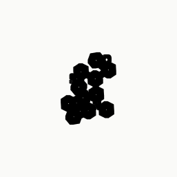 c1ccc(N(c2ccc(-c3cc(-c4cccc5oc6ccccc6c45)cc(-c4cccc5sc6ccccc6c45)c3)cc2)c2ccc3c(c2)C2(c4ccccc4-c4ccccc42)c2ccccc2-3)cc1